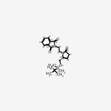 CC(C)(C)[Si](C)(C)OC[C@@H]1CCC(=O)N1CCN1C(=O)c2ccccc2C1=O